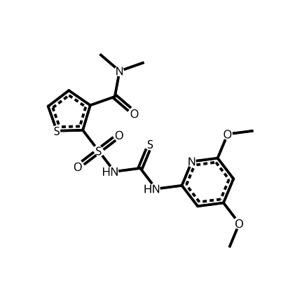 COc1cc(NC(=S)NS(=O)(=O)c2sccc2C(=O)N(C)C)nc(OC)c1